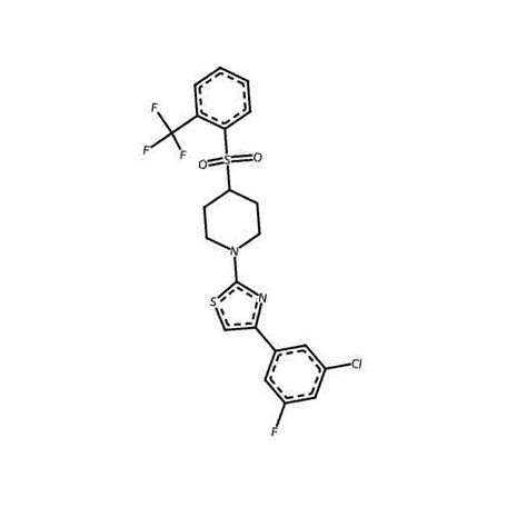 O=S(=O)(c1ccccc1C(F)(F)F)C1CCN(c2nc(-c3cc(F)cc(Cl)c3)cs2)CC1